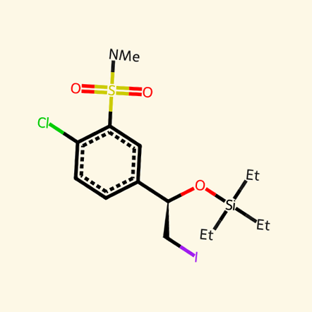 CC[Si](CC)(CC)O[C@@H](CI)c1ccc(Cl)c(S(=O)(=O)NC)c1